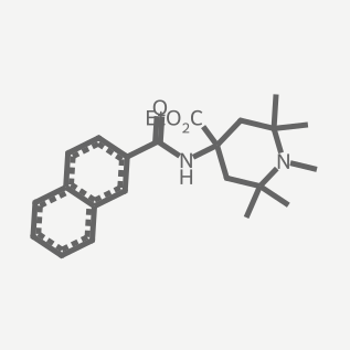 CCOC(=O)C1(NC(=O)c2ccc3ccccc3c2)CC(C)(C)N(C)C(C)(C)C1